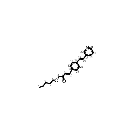 CCCCCOCC(=O)/C=C/c1ccc(/C=C/c2cccnc2)cc1